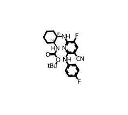 CC(C)(C)OC(=O)N[C@H]1CCCC[C@H]1Nc1nc(Nc2ccc(F)cc2)c(C#N)cc1F